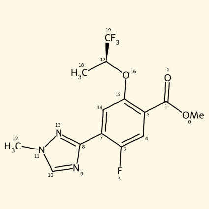 COC(=O)c1cc(F)c(-c2ncn(C)n2)cc1O[C@@H](C)C(F)(F)F